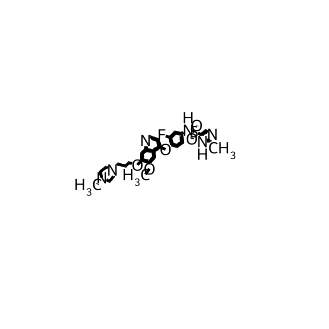 COc1cc2c(Oc3ccc(NS(=O)(=O)c4cnc(C)[nH]4)cc3F)ccnc2cc1OCCCN1CCN(C)CC1